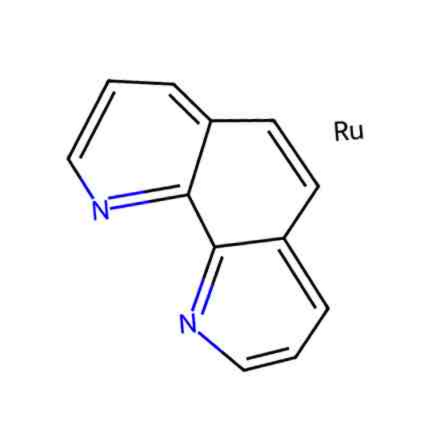 [Ru].c1cnc2c(c1)ccc1cccnc12